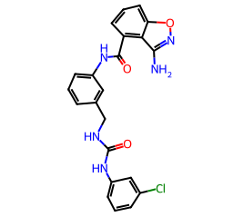 Nc1noc2cccc(C(=O)Nc3cccc(CNC(=O)Nc4cccc(Cl)c4)c3)c12